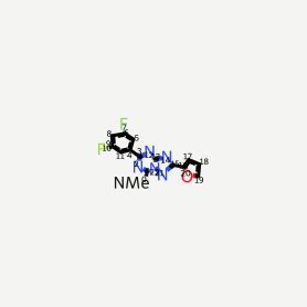 CNc1nc(-c2cc(F)cc(F)c2)nc2nc(-c3ccco3)nn12